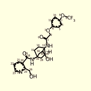 O=C(COc1ccc(OC(F)(F)F)cc1)NC12CCC(NC(=O)c3cccnc3CO)(CC1)C[C@@H]2O